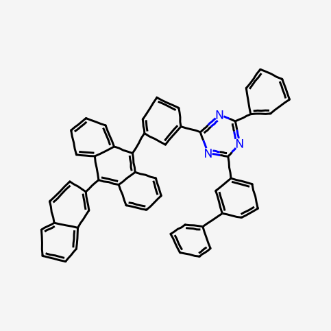 c1ccc(-c2cccc(-c3nc(-c4ccccc4)nc(-c4cccc(-c5c6ccccc6c(-c6ccc7ccccc7c6)c6ccccc56)c4)n3)c2)cc1